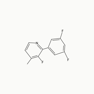 Cc1ccnc(-c2cc(F)cc(F)c2)c1F